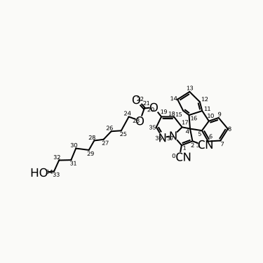 N#CC1=C(C#N)C2(c3ccccc3-c3ccccc32)C2C=C(OC(=O)OCCCCCCCCCCO)C=NN12